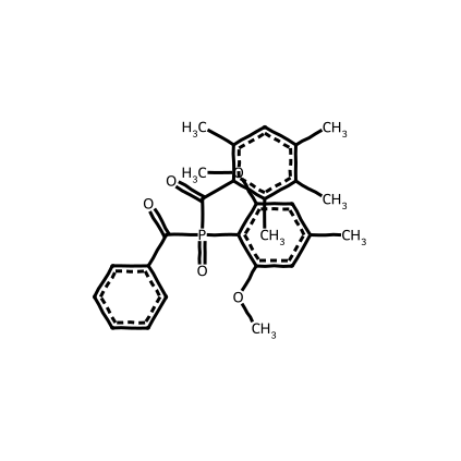 COc1cc(C)cc(OC)c1P(=O)(C(=O)c1ccccc1)C(=O)c1c(C)cc(C)c(C)c1C